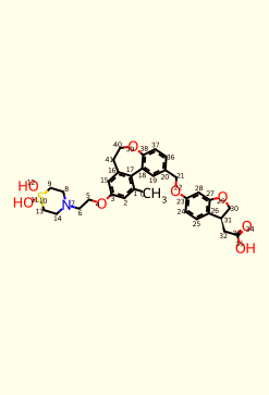 Cc1cc(OCCN2CCS(O)(O)CC2)cc2c1-c1cc(COc3ccc4c(c3)OC[C@H]4CC(=O)O)ccc1OCC2